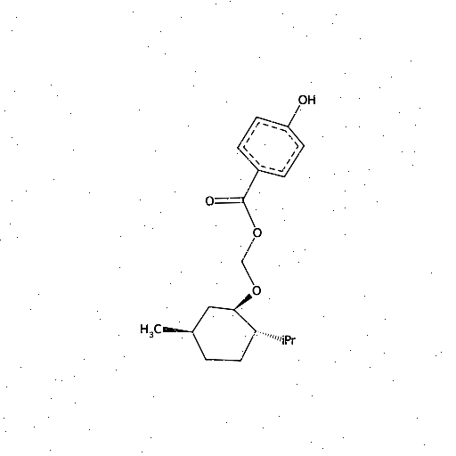 CC(C)[C@@H]1CC[C@@H](C)C[C@H]1OCOC(=O)c1ccc(O)cc1